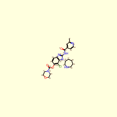 Cc1cc(C(=O)Nc2nc3ccc(OC(=O)N4CCOCC4)c(Cl)c3n2[C@@H]2CCCCNC2)ccn1